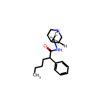 CCCCC(C(=O)N[C@H]1CN2CCC1CC2)c1ccccc1